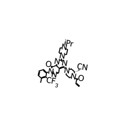 C=CC(=O)N1CCN(c2nc(N3CCN(C(C)C)CC3)nc3c(=O)n(-c4cccc(C)c4C(F)(F)F)ncc23)C[C@@H]1CC#N